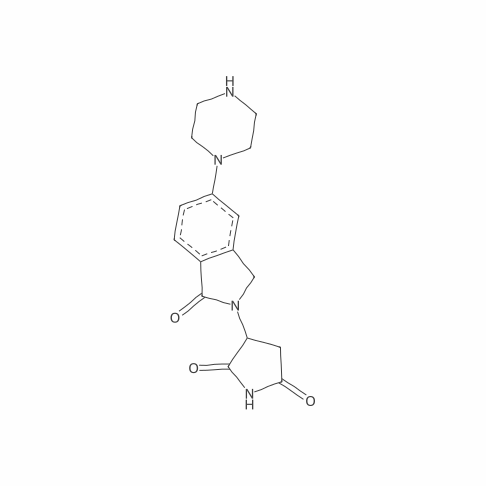 O=C1CC(N2Cc3cc(N4CCNCC4)ccc3C2=O)C(=O)N1